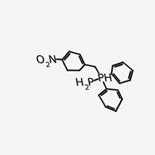 O=[N+]([O-])C1=CC=C(C[PH](P)(c2ccccc2)c2ccccc2)CC1